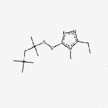 CCc1nnc(SSC(C)(C)CC(C)(C)C)n1C